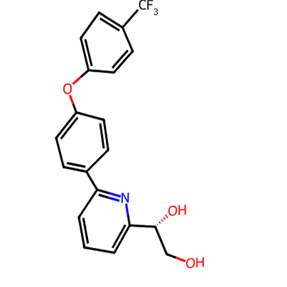 OC[C@@H](O)c1cccc(-c2ccc(Oc3ccc(C(F)(F)F)cc3)cc2)n1